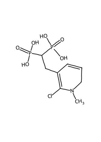 CN1CC=CC(CC(P(=O)(O)O)P(=O)(O)O)=C1Cl